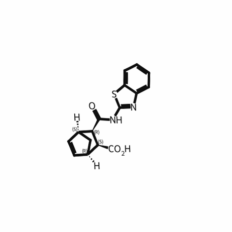 O=C(O)[C@@H]1[C@H](C(=O)Nc2nc3ccccc3s2)[C@@H]2C=C[C@H]1C2